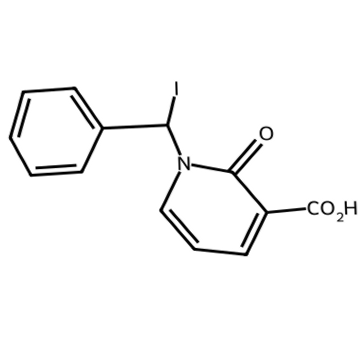 O=C(O)c1cccn(C(I)c2ccccc2)c1=O